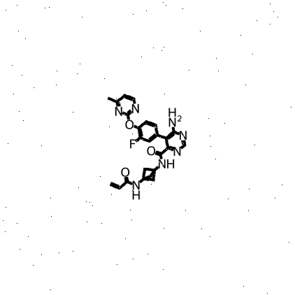 C=CC(=O)NC12CC(NC(=O)c3ncnc(N)c3-c3ccc(Oc4nccc(C)n4)c(F)c3)(C1)C2